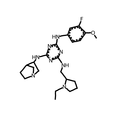 CCN1CCCC1CNc1nc(Nc2ccc(OC)c(F)c2)nc(NC2CN3CCC2C3)n1